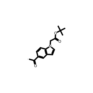 [CH2]C(=O)c1ccc2c(ccn2CC(=O)OC(C)(C)C)c1